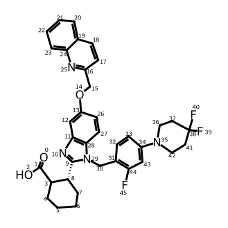 O=C(O)C1CCCC[C@H]1c1nc2cc(OCc3ccc4ccccc4n3)ccc2n1Cc1ccc(N2CCC(F)(F)CC2)cc1F